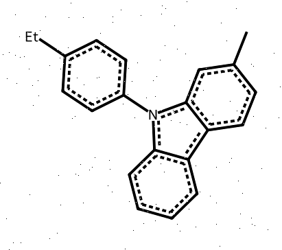 CCc1ccc(-n2c3ccccc3c3ccc(C)cc32)cc1